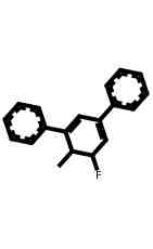 CC1C(c2ccccc2)=CC(c2ccccc2)=CC1F